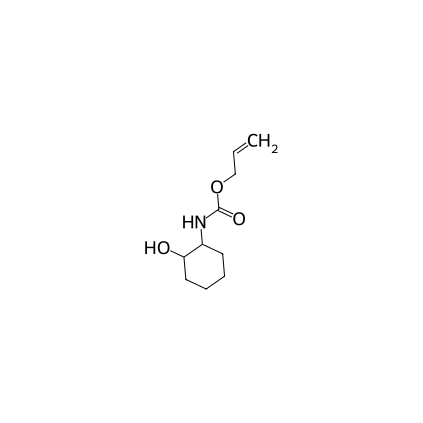 C=CCOC(=O)NC1CCCCC1O